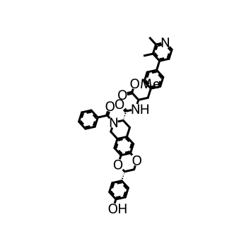 COC(=O)C(Cc1ccc(-c2ccnc(C)c2C)cc1)NC(=O)[C@@H]1Cc2cc3c(cc2CN1C(=O)c1ccccc1)O[C@@H](c1ccc(O)cc1)CO3